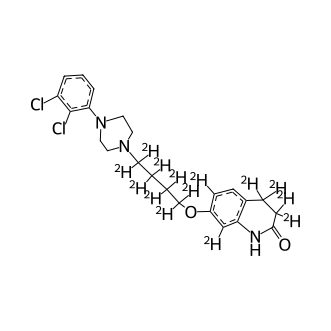 [2H]c1cc2c(c([2H])c1OC([2H])([2H])C([2H])([2H])C([2H])([2H])C([2H])([2H])N1CCN(c3cccc(Cl)c3Cl)CC1)NC(=O)C([2H])([2H])C2([2H])[2H]